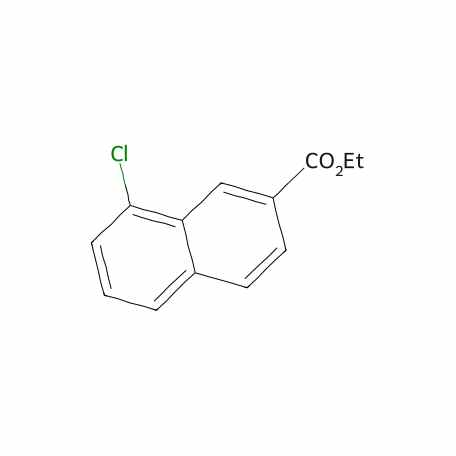 CCOC(=O)c1ccc2cccc(Cl)c2c1